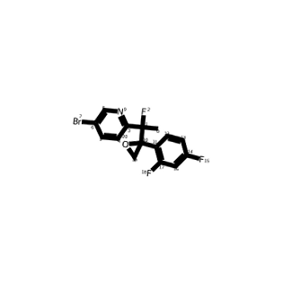 CC(F)(c1ccc(Br)cn1)C1(c2ccc(F)cc2F)CO1